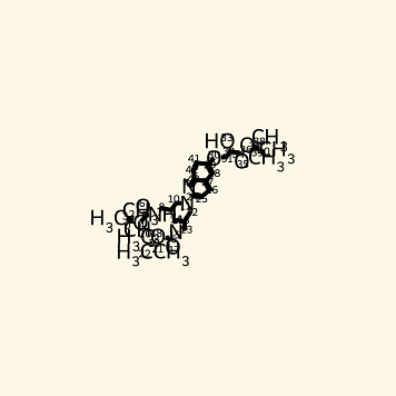 CC(C)(C)OC(=O)NCCCN(CC1CN(C(=O)OC(C)(C)C)C1)c1ccc2cc(OC[C@@H](O)C(=O)OC(C)(C)C)ccc2n1